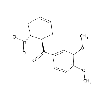 COc1ccc(C(=O)[C@@H]2CC=CC[C@H]2C(=O)O)cc1OC